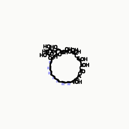 C[C@@H]1[C@H](O)[C@@H](C)/C=C/C=C/C=C/C=C/C=C/C=C/C=C/[C@H](OC2O[C@@H](C)[C@H](O)[C@@H](C)[C@H]2O)C[C@@H]2O[C@](O)(C[C@@H](O)C[C@@H](O)[C@H](O)CC[C@@H](O)C[C@@H](O)CC(=O)O[C@H]1C)C[C@H](O)[C@H]2C(=O)O